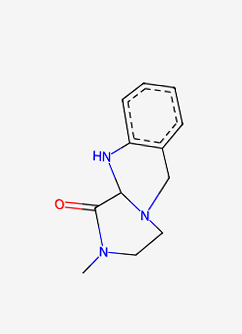 CN1CCN2Cc3ccccc3NC2C1=O